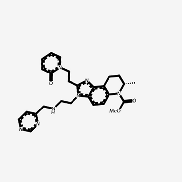 COC(=O)N1c2ccc3c(nc(CCn4ccccc4=O)n3CCNCc3ccncn3)c2CC[C@@H]1C